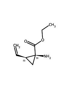 C=C[C@@H]1C[C@@]1(N)C(=O)OCC